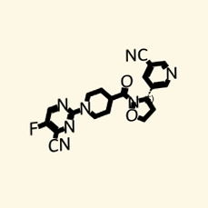 N#Cc1cncc([C@@H]2CCON2C(=O)C2CCN(c3ncc(F)c(C#N)n3)CC2)c1